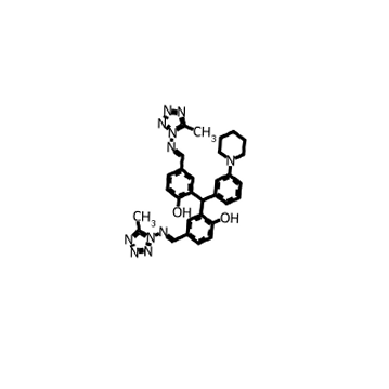 Cc1nnnn1/N=C/c1ccc(O)c(C(c2cccc(N3CCCCC3)c2)c2cc(/C=N/n3nnnc3C)ccc2O)c1